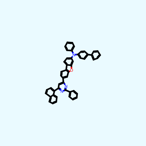 c1ccc(-c2ccc(N(c3ccccc3)c3ccc4c(c3)oc3cc(-c5cc(-c6cccc7ccccc67)nc(-c6ccccc6)n5)ccc34)cc2)cc1